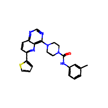 Cc1cccc(NC(=O)N2CCN(c3ncnc4ccc(-c5cccs5)nc34)CC2)c1